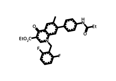 CCOC(=O)c1cn(Cc2c(F)cccc2F)c2cc(-c3ccc(NC(=O)CC)cc3)c(C)cc2c1=O